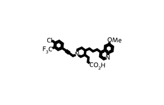 COc1ccc2nccc(CCCC3CCN(CC#Cc4ccc(Cl)c(C(F)(F)F)c4)CC3CCC(=O)O)c2c1